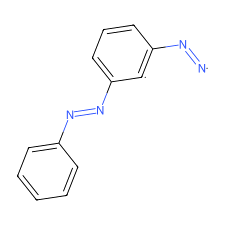 [N]=Nc1[c]c(N=Nc2ccccc2)ccc1